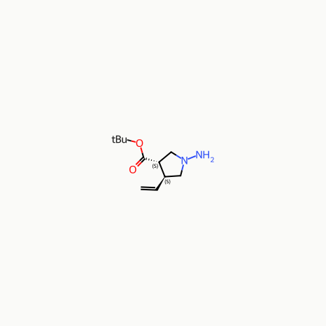 C=C[C@@H]1CN(N)C[C@H]1C(=O)OC(C)(C)C